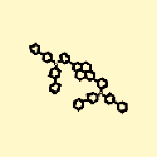 C1=CC(N(c2ccc(-c3ccccc3)cc2)c2cccc(-c3cc4c5c(c3)CCc3cc(-c6cccc(N(c7ccc(-c8ccccc8)cc7)c7ccc(-c8ccccc8)cc7)c6)cc(c3-5)CC4)c2)CC=C1c1ccccc1